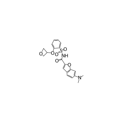 CN(C)c1ccc2cc(C(=O)NS(=O)(=O)c3ccccc3OC3COC3)oc2c1